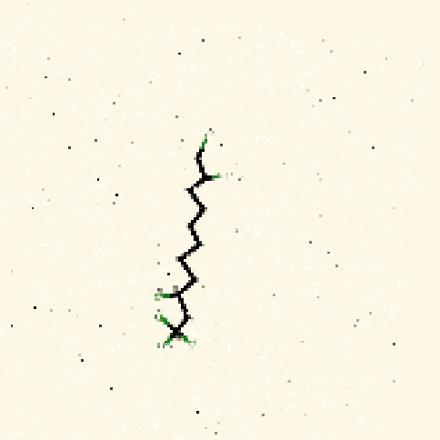 ClCC(Cl)CCCCCCC(Cl)CC(Cl)(Cl)Cl